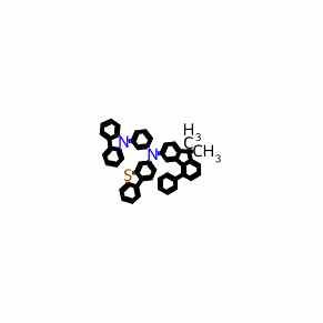 CC1(C)c2ccc(N(c3cccc(-n4c5ccccc5c5ccccc54)c3)c3ccc4c(c3)sc3ccccc34)cc2-c2c(-c3ccccc3)cccc21